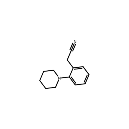 N#CCc1ccccc1N1CCCCC1